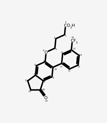 O=C(O)CCCOc1cc2c(cc1-c1cccc(C(F)(F)F)c1)C(=O)CC2